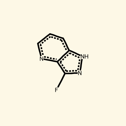 Fc1n[nH]c2cccnc12